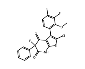 COc1c(-c2c(Cl)sc3c2C(=O)C(F)(c2ccccc2)C(=O)N3)ccc(C)c1F